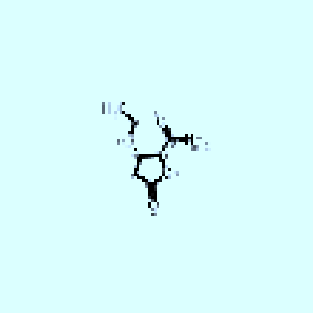 CCO[C@H]1CC(=O)O[C@@H]1C(N)=O